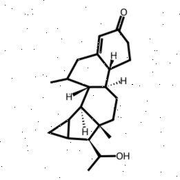 CC1CC2=CC(=O)CC[C@@H]2[C@H]2CC[C@]3(C)[C@@H](C(C)O)C4CC4[C@H]3[C@H]12